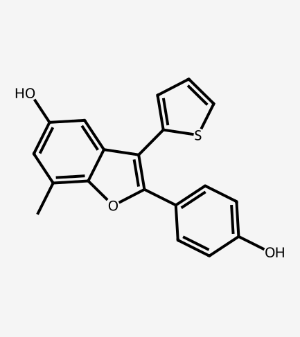 Cc1cc(O)cc2c(-c3cccs3)c(-c3ccc(O)cc3)oc12